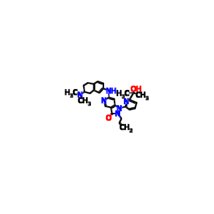 C=CCn1c(=O)c2cnc(Nc3ccc4c(c3)CC(N(C)C)CC4)cc2n1-c1cccc(C(C)(C)O)n1